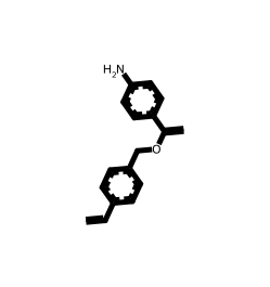 C=Cc1ccc(COC(=C)c2ccc(N)cc2)cc1